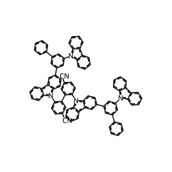 N#Cc1ccc(-n2c3ccccc3c3cc(-c4cc(-c5ccccc5)cc(-n5c6ccccc6c6ccccc65)c4)ccc32)c(-c2cc(C#N)ccc2-n2c3ccccc3c3cc(-c4cc(-c5ccccc5)cc(-n5c6ccccc6c6ccccc65)c4)ccc32)c1